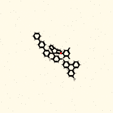 Cc1cc(C)c(N(c2ccc3c(c2)C2(c4cc(-c5ccc(-c6ccccc6)cc5)ccc4O3)c3ccccc3-c3ccccc32)c2ccc3c4ccc(Br)cc4c4ccccc4c3c2)c(C)c1